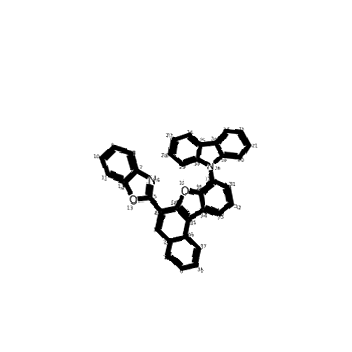 C1=CC2C=C(c3nc4ccccc4o3)c3oc4c(-n5c6ccccc6c6ccccc65)cccc4c3C2C=C1